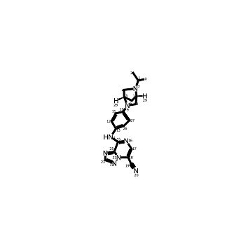 CC(C)N1C[C@@H]2C[C@H]1CN2c1ccc(Nc2ncc(C#N)n3ncnc23)cc1